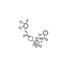 COc1ccccc1C(=O)NC[C@H](NC(=O)C1CCN(C(=O)C=Cc2ccc(SC)c(Cl)c2Cl)CC1)C(=O)O